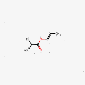 CC=COC(=O)C(CC)CCCC